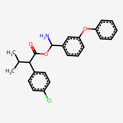 CC(C)C(C(=O)OC(N)c1cccc(Oc2ccccc2)c1)c1ccc(Cl)cc1